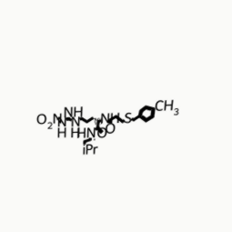 Cc1ccc(CSCCC(=O)N[C@@H](CCCNC(=N)N[N+](=O)[O-])C(=O)N[CH]CC(C)C)cc1